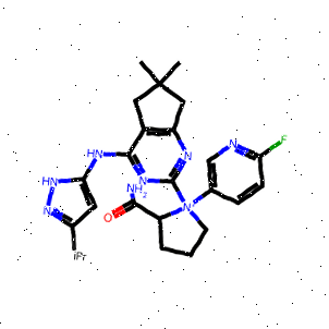 CC(C)c1cc(Nc2nc([N+]3(c4ccc(F)nc4)CCCC3C(N)=O)nc3c2CC(C)(C)C3)[nH]n1